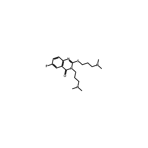 CN(C)CCCSc1nc2ccc(F)cc2c(=O)n1CCCN(C)C